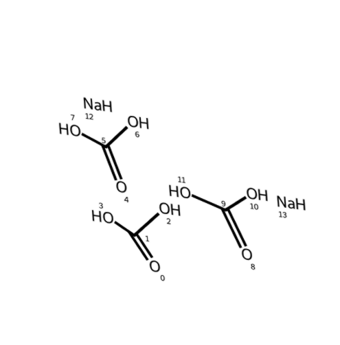 O=C(O)O.O=C(O)O.O=C(O)O.[NaH].[NaH]